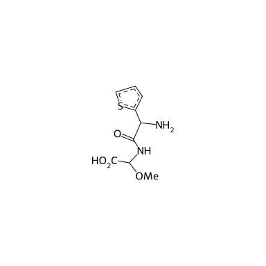 COC(NC(=O)C(N)c1cccs1)C(=O)O